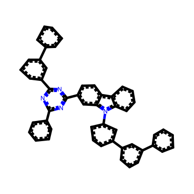 c1ccc(-c2cccc(-c3cccc(-n4c5ccccc5c5ccc(-c6nc(-c7ccccc7)nc(-c7cccc(-c8ccccc8)c7)n6)cc54)c3)c2)cc1